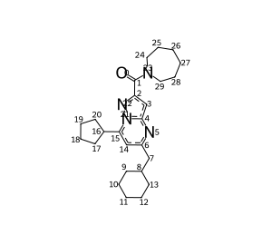 O=C(c1cc2nc(CC3CCCCC3)cc(C3CCCC3)n2n1)N1CCCCCC1